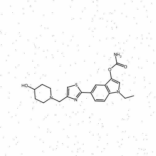 CCn1cc(OC(N)=O)c2cc(-c3nc(CN4CCC(O)CC4)cs3)ccc21